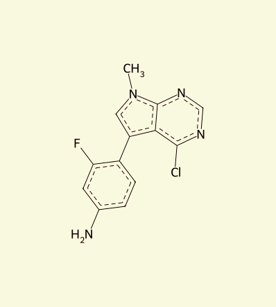 Cn1cc(-c2ccc(N)cc2F)c2c(Cl)ncnc21